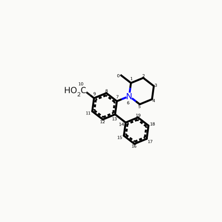 CC1CCCCN1c1cc(C(=O)O)ccc1-c1ccccc1